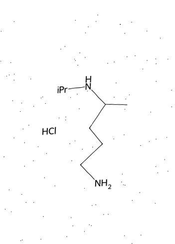 CC(C)NC(C)CCCN.Cl